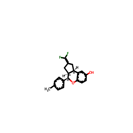 Cc1ccc([C@@H]2Oc3ccc(O)cc3[C@@H]3CC(=C(F)F)C[C@@H]32)cc1